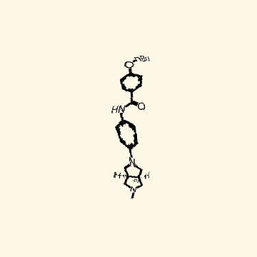 CCCCOc1ccc(C(=O)Nc2ccc(N3C[C@H]4CN(C)C[C@H]4C3)cc2)cc1